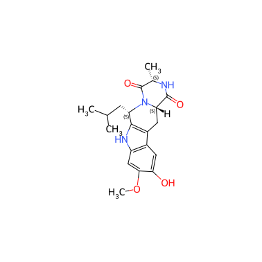 COc1cc2[nH]c3c(c2cc1O)C[C@H]1C(=O)N[C@@H](C)C(=O)N1[C@H]3CC(C)C